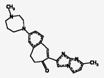 Cc1ccn2cc(C3=Cc4ccc(N5CCCN(C)CC5)cc4CCC3=O)nc2n1